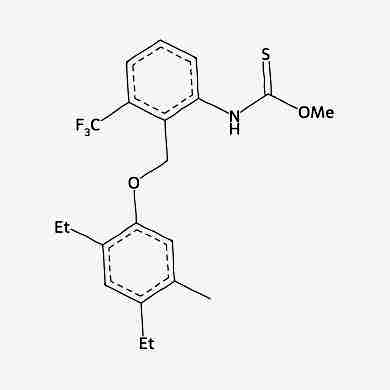 CCc1cc(CC)c(OCc2c(NC(=S)OC)cccc2C(F)(F)F)cc1C